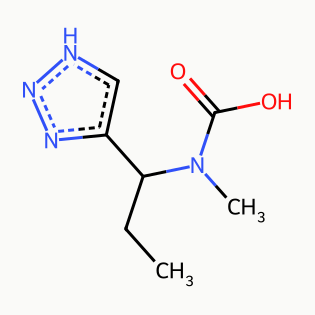 CCC(c1c[nH]nn1)N(C)C(=O)O